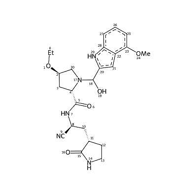 CCO[C@@H]1C[C@@H](C(=O)N[C@H](C#N)C[C@@H]2CCNC2=O)N(C(O)c2cc3c(OC)cccc3[nH]2)C1